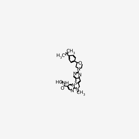 CN(C)c1ccc(C2CN(c3ncc4sc(CN(C)c5ncc(C(=O)NO)cn5)cc4n3)CCO2)cc1